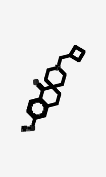 COc1ccc2c(c1)CCC1(CCN(CC3CCC3)CC1)C2=O